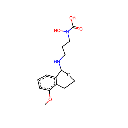 COc1cccc2c1CCCC2NCCCN(O)C(=O)O